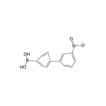 O=[N+]([O-])c1cccc(-c2ccc(B(O)O)cc2)c1